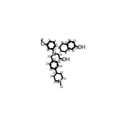 COc1ccc([C@H]2CCc3cc(O)ccc3C2)c(N(CCO)Cc2ccc(C3CCN(C)CC3)cc2)c1